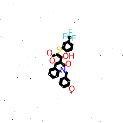 COc1cccc(Cn2c(=O)c3c(O)c(Sc4cccc(C(F)(F)F)c4)c(=O)oc3c3ccccc32)c1